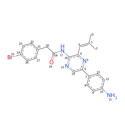 CC(C)=Cc1nc(-c2ccc(N)cc2)cnc1NC(=O)Cc1ccc(Br)cc1